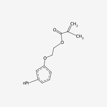 C=C(C)C(=O)OCCOc1cccc(CCC)c1